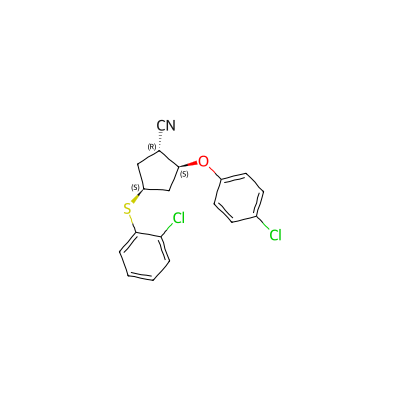 N#C[C@H]1C[C@H](Sc2ccccc2Cl)C[C@@H]1Oc1ccc(Cl)cc1